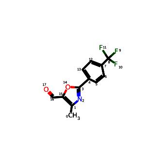 Cc1nc(-c2ccc(C(F)(F)F)cc2)oc1[C]=O